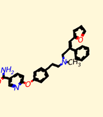 CN(CCc1ccc(Oc2ccc(C(N)=O)cn2)cc1)C/C(=C/c1ccco1)c1ccccc1